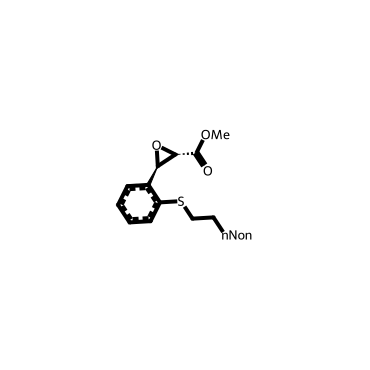 CCCCCCCCCCCSc1ccccc1[C@H]1O[C@@H]1C(=O)OC